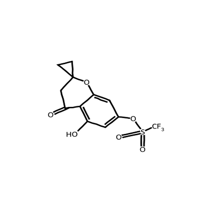 O=C1CC2(CC2)Oc2cc(OS(=O)(=O)C(F)(F)F)cc(O)c21